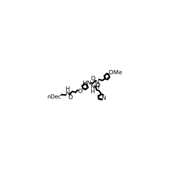 CCCCCCCCCCCCNC(=O)CCCOc1ccc(NC(NC(=O)CCc2cccnc2)C(=O)NCCc2ccc(OC)cc2)cc1